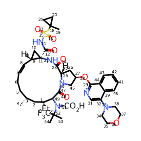 CC[C@@H]1C[C@H](C)CCC=C[C@@H]2C[C@@]2(C(=O)NS(=O)(=O)C2(C)CC2)NC(=O)[C@@H]2C[C@@H](Oc3ncc(N4CCOCC4)c4ccccc34)CN2C(=O)[C@H]1N(C(=O)O)C(C)(C)C(F)(F)F